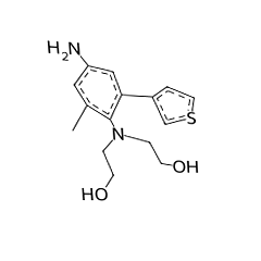 Cc1cc(N)cc(-c2ccsc2)c1N(CCO)CCO